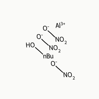 CCCCO.O=[N+]([O-])[O-].O=[N+]([O-])[O-].O=[N+]([O-])[O-].[Al+3]